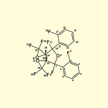 Fc1ccccc1C(F)(OC(F)(c1ccccc1F)C1(F)OC1(F)F)C1(F)OC1(F)F